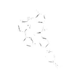 Cc1ccc(NC(=O)c2ccc(N3CCN(C(C)C)CC3)cc2)cc1Nc1nccc(-c2cccnc2)n1